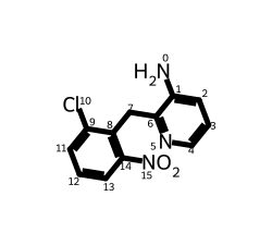 Nc1cccnc1Cc1c(Cl)cccc1[N+](=O)[O-]